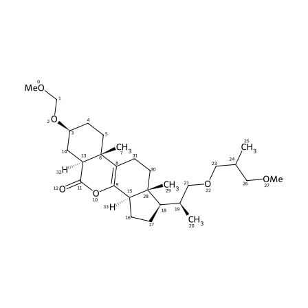 COCO[C@H]1CC[C@]2(C)C3=C(OC(=O)[C@H]2C1)[C@@H]1CC[C@H]([C@H](C)COCC(C)COC)[C@@]1(C)CC3